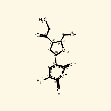 CCC(=O)[C@@H]1C[C@H](n2cc(C)c(=O)[nH]c2=O)O[C@@H]1CO